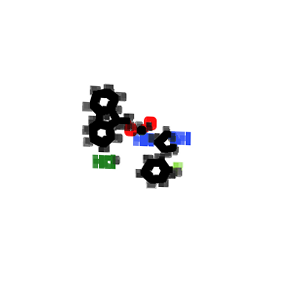 Cl.O=C(N[C@H]1CNC[C@@H]1c1ccccc1F)OCC1c2ccccc2-c2ccccc21